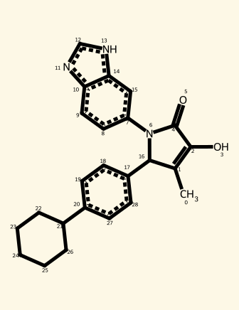 CC1=C(O)C(=O)N(c2ccc3nc[nH]c3c2)C1c1ccc(C2CCCCC2)cc1